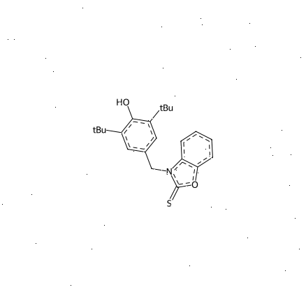 CC(C)(C)c1cc(Cn2c(=S)oc3ccccc32)cc(C(C)(C)C)c1O